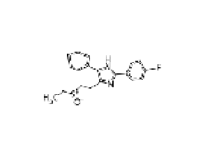 CC[S+]([O-])CCc1nc(-c2ccc(F)cc2)[nH]c1-c1ccccc1